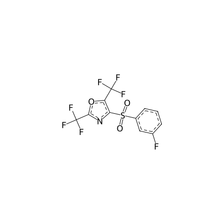 O=S(=O)(c1cccc(F)c1)c1nc(C(F)(F)F)oc1C(F)(F)F